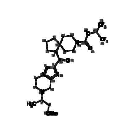 COCC(C)N1CCn2cc(C(=O)N3CCCC34CCN(C(=O)OC(C(F)(F)F)C(F)(F)F)CC4)nc2C1